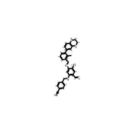 Cc1c(COc2cc(OCc3ccc(C#N)cc3)c(C=O)cc2Cl)cccc1-c1ccc2c(c1)OCCO2